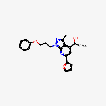 COC(O)c1cc(-c2ccco2)nc2c1c(C)nn2CCCOc1ccccc1